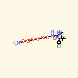 Cc1sc2c(c1C)C(c1ccc(Cl)cc1)=N[C@@H](CC(=O)NCCOCCOCCOCCOCCOCCOCCN)c1nnc(C)n1-2